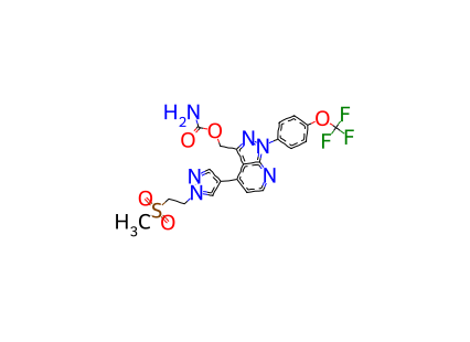 CS(=O)(=O)CCn1cc(-c2ccnc3c2c(COC(N)=O)nn3-c2ccc(OC(F)(F)F)cc2)cn1